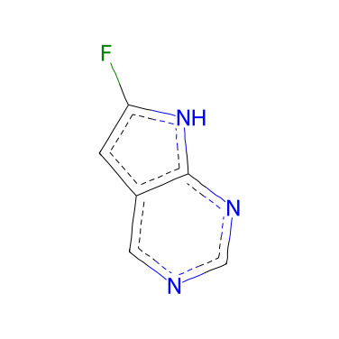 Fc1cc2cncnc2[nH]1